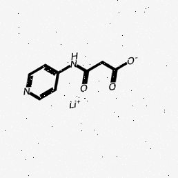 O=C([O-])CC(=O)Nc1ccncc1.[Li+]